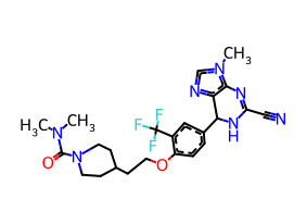 CN(C)C(=O)N1CCC(CCOc2ccc(C3NC(C#N)=Nc4c3ncn4C)cc2C(F)(F)F)CC1